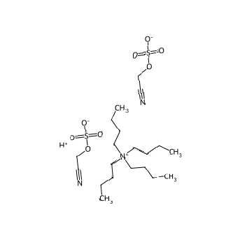 CCCC[N+](CCCC)(CCCC)CCCC.N#CCOS(=O)(=O)[O-].N#CCOS(=O)(=O)[O-].[H+]